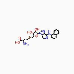 NC(CCSCC1OC(n2cnc3c(Nc4cccc5ccccc45)nccc32)C(O)C1O)C(=O)O